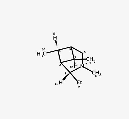 CC[C@@H]1C2[C@H](C)C(CN1C)[C@@H]2C